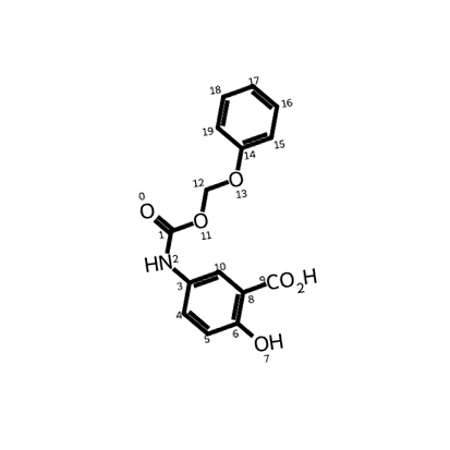 O=C(Nc1ccc(O)c(C(=O)O)c1)OCOc1ccccc1